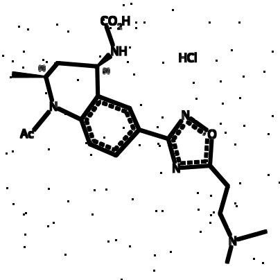 CC(=O)N1c2ccc(-c3noc(CCN(C)C)n3)cc2[C@H](NC(=O)O)C[C@@H]1C.Cl